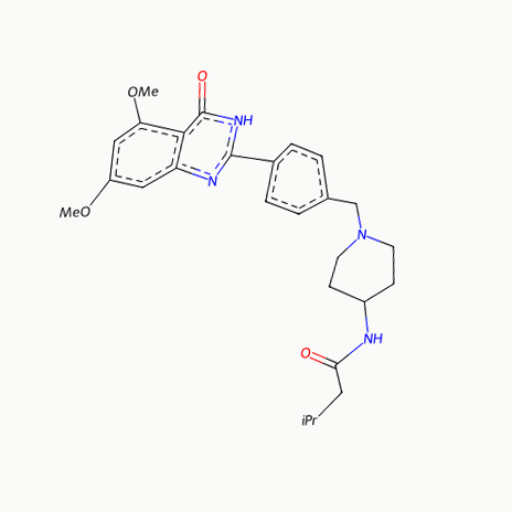 COc1cc(OC)c2c(=O)[nH]c(-c3ccc(CN4CCC(NC(=O)CC(C)C)CC4)cc3)nc2c1